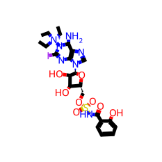 CC[N+](CC)(CC)N1C(I)=Nc2c(ncn2[C@@H]2O[C@H](COS(=O)(=O)NC(=O)c3ccccc3O)C(O)C2O)C1N